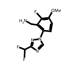 COc1ccc(-n2cnc(C(F)F)n2)c(CN)c1F